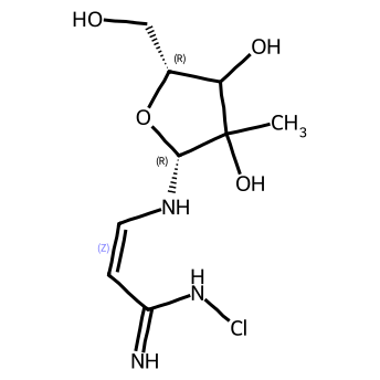 CC1(O)C(O)[C@@H](CO)O[C@H]1N/C=C\C(=N)NCl